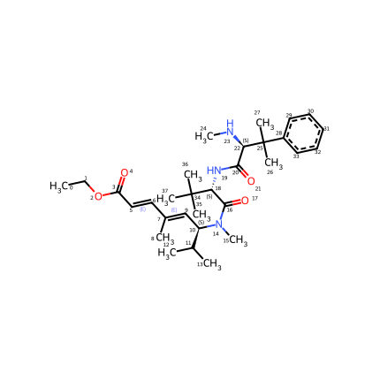 CCOC(=O)/C=C/C(C)=C/[C@H](C(C)C)N(C)C(=O)[C@@H](NC(=O)[C@@H](NC)C(C)(C)c1ccccc1)C(C)(C)C